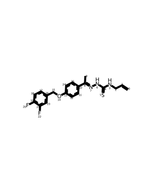 C=CCNC(=S)N/N=C(\C)c1ccc(OCc2ccc(F)c(F)c2)cc1